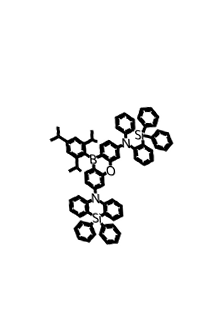 CC(C)c1cc(C(C)C)c(B2c3ccc(N4c5ccccc5[Si](c5ccccc5)(c5ccccc5)c5ccccc54)cc3Oc3cc(N4c5ccccc5[Si](c5ccccc5)(c5ccccc5)c5ccccc54)ccc32)c(C(C)C)c1